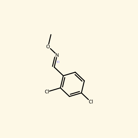 CO/N=C/c1ccc(Cl)cc1Cl